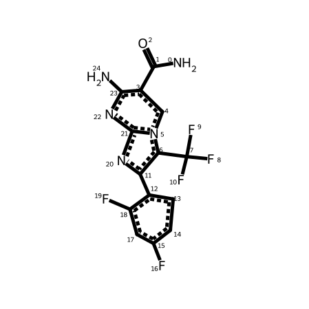 NC(=O)c1cn2c(C(F)(F)F)c(-c3ccc(F)cc3F)nc2nc1N